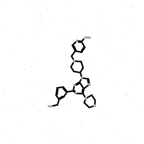 COc1ccc(CN2CCC(n3cnc4c(N5CCOCC5)nc(-c5cccc(CO)c5)nc43)CC2)cn1